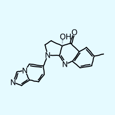 Cc1ccc2c(c1)C(=O)[C@]1(O)CCN(c3ccc4cncn4c3)C1=N2